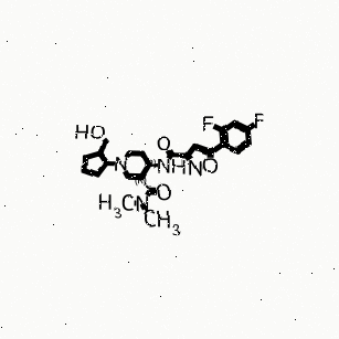 CN(C)C(=O)[C@@H]1CN(C2CCCC2CO)CC[C@H]1NC(=O)c1cc(-c2ccc(F)cc2F)on1